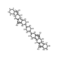 Cn1c2ccccc2c2cc3c(cc21)c1ccc(-c2ccc(-c4ccc5c6cc7c(cc6n(C)c5c4)c4ccccc4n7C)cc2)cc1n3C